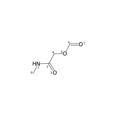 CNC(=O)COC=O